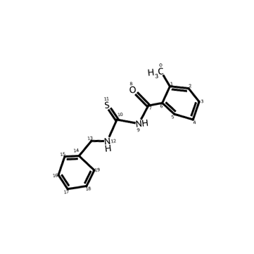 Cc1ccccc1C(=O)NC(=S)NCc1ccccc1